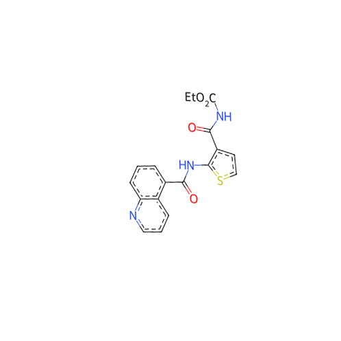 CCOC(=O)NC(=O)c1ccsc1NC(=O)c1cccc2ncccc12